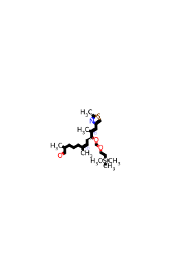 C/C(=C/C[C@H](OCOCC[Si](C)(C)C)/C(C)=C/c1csc(C)n1)CCCC(C)C=O